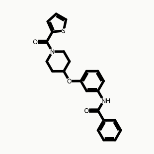 O=C(Nc1cccc(OC2CCN(C(=O)c3cccs3)CC2)c1)c1ccccc1